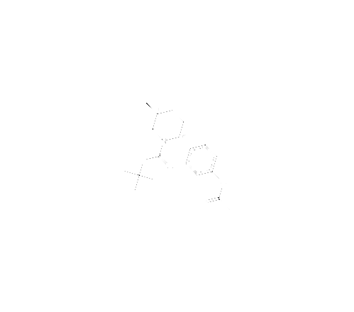 CC(=O)Oc1ccc([C@H]2CC[C@H](C)CN2C(=O)OC(C)(C)C)cc1